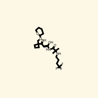 CC(C)(NCCCC(F)(F)F)C(=O)N/C(O)=C/C(=N)C1(COC2CCCCO2)CCC1